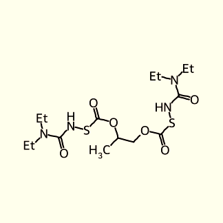 CCN(CC)C(=O)NSC(=O)OCC(C)OC(=O)SNC(=O)N(CC)CC